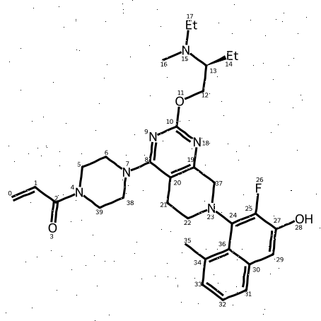 C=CC(=O)N1CCN(c2nc(OC[C@H](CC)N(C)CC)nc3c2CCN(c2c(F)c(O)cc4cccc(C)c24)C3)CC1